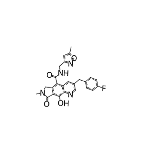 Cc1cc(CNC(=O)c2c3c(c(O)c4ncc(Cc5ccc(F)cc5)cc24)C(=O)N(C)C3)no1